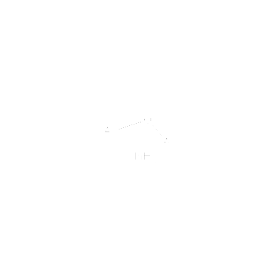 CC(=O)OC(C)=O.[InH3]